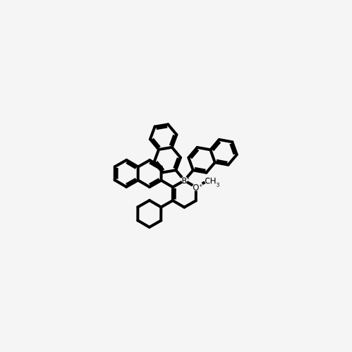 C[O+]1CCC(C2CCCCC2)=C(c2ccc3ccccc3c2)[B-]1(c1ccc2ccccc2c1)c1ccc2ccccc2c1